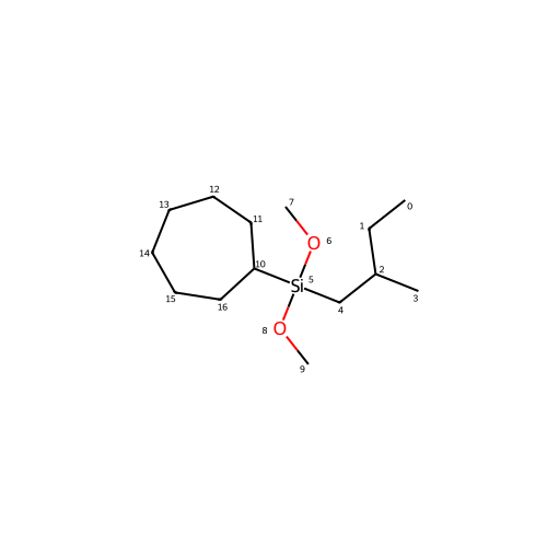 CCC(C)C[Si](OC)(OC)C1CCCCCC1